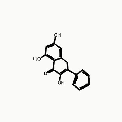 O=C1C(O)=C(c2ccccc2)Cc2cc(O)cc(O)c21